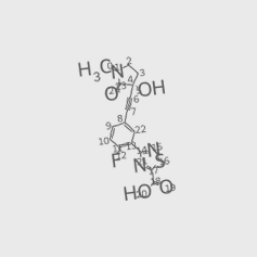 CN1CC[C@@](O)(C#Cc2ccc(F)c(-c3nsc(C(=O)O)n3)c2)C1=O